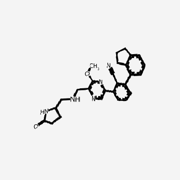 COc1nc(-c2cccc(-c3cccc4c3CCC4)c2C#N)cnc1CNCC1CCC(=O)N1